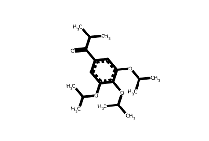 CC(C)Oc1cc(C(=O)C(C)C)cc(OC(C)C)c1OC(C)C